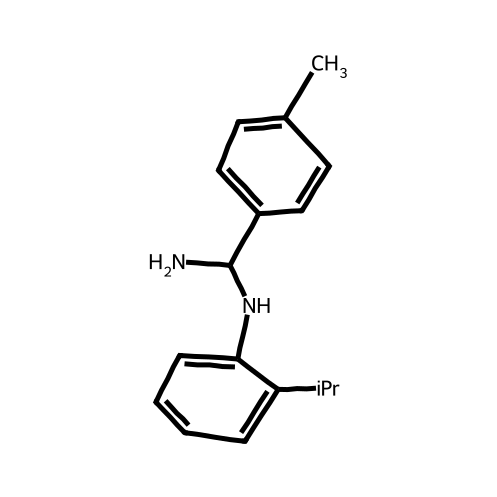 Cc1ccc(C(N)Nc2ccccc2C(C)C)cc1